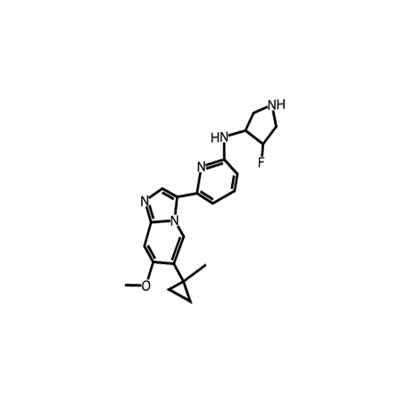 COc1cc2ncc(-c3cccc(NC4CNCC4F)n3)n2cc1C1(C)CC1